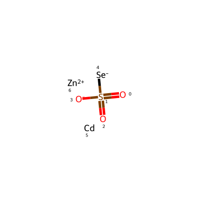 O=S(=O)([O-])[Se-].[Cd].[Zn+2]